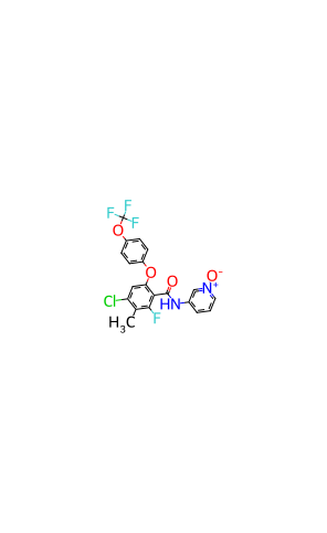 Cc1c(Cl)cc(Oc2ccc(OC(F)(F)F)cc2)c(C(=O)Nc2ccc[n+]([O-])c2)c1F